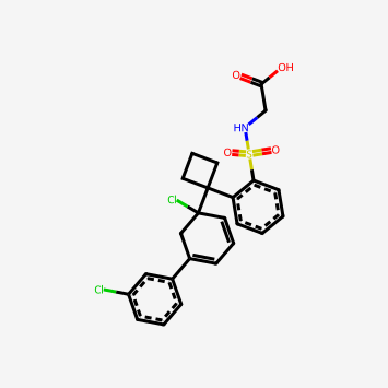 O=C(O)CNS(=O)(=O)c1ccccc1C1(C2(Cl)C=CC=C(c3cccc(Cl)c3)C2)CCC1